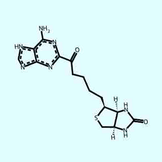 Nc1nc(C(=O)CCCC[C@@H]2SC[C@@H]3NC(=O)N[C@@H]32)nc2nc[nH]c12